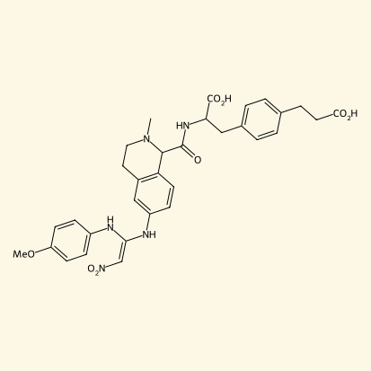 COc1ccc(NC(=C[N+](=O)[O-])Nc2ccc3c(c2)CCN(C)C3C(=O)NC(Cc2ccc(CCC(=O)O)cc2)C(=O)O)cc1